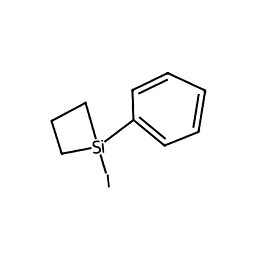 I[Si]1(c2ccccc2)CCC1